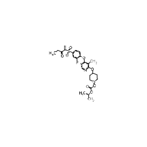 CCC(=O)NS(=O)(=O)c1ccc(Oc2ncnc(OC3CCN(OC(=O)OC(C)C)CC3)c2C)c(F)c1